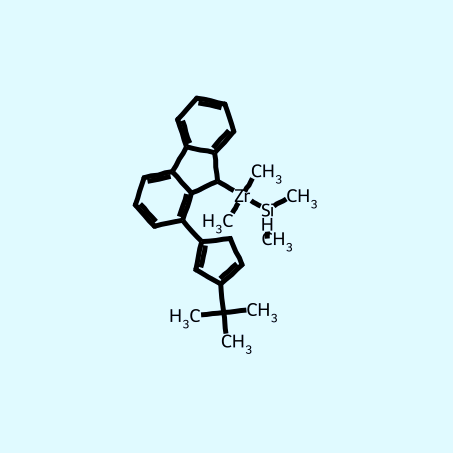 C[SiH](C)[Zr]([CH3])([CH3])[CH]1c2ccccc2-c2cccc(C3=CC(C(C)(C)C)=CC3)c21